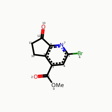 COC(=O)c1cc(Br)nc2c1CCC2=O